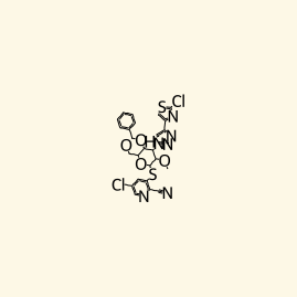 COC1C(n2cc(-c3csc(Cl)n3)nn2)[C@H]2OC(c3ccccc3)OCC2O[C@@H]1Sc1cc(Cl)cnc1C#N